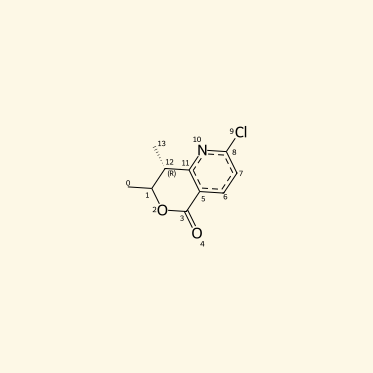 CC1OC(=O)c2ccc(Cl)nc2[C@H]1C